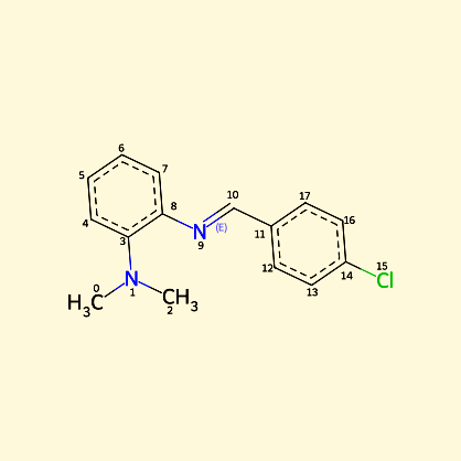 CN(C)c1ccccc1/N=C/c1ccc(Cl)cc1